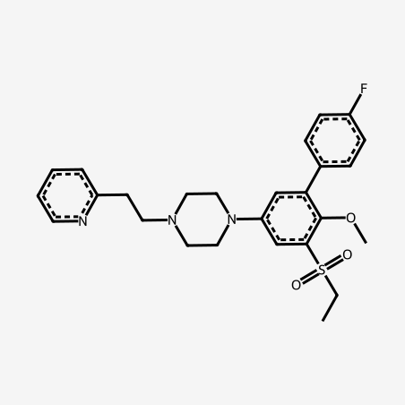 CCS(=O)(=O)c1cc(N2CCN(CCc3ccccn3)CC2)cc(-c2ccc(F)cc2)c1OC